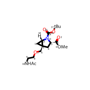 COC(=O)[C@@H]1C[C@]2(COCCNC(C)=O)C[C@@H]2N1C(=O)OC(C)(C)C